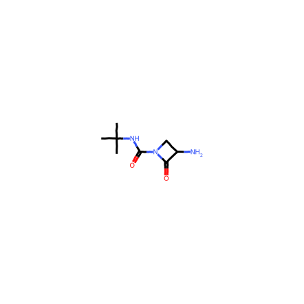 CC(C)(C)NC(=O)N1CC(N)C1=O